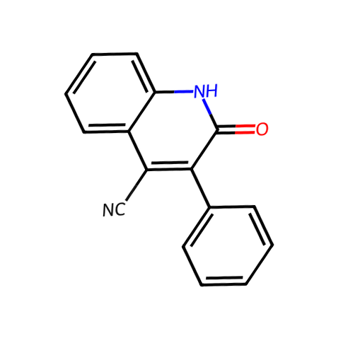 N#Cc1c(-c2ccccc2)c(=O)[nH]c2ccccc12